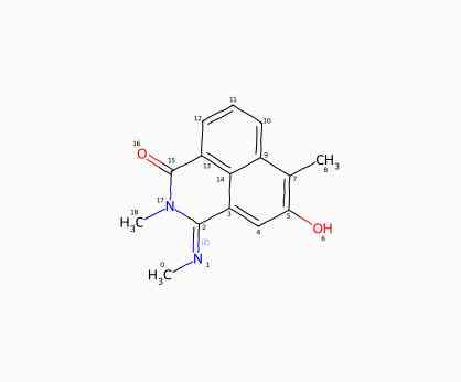 C/N=C1/c2cc(O)c(C)c3cccc(c23)C(=O)N1C